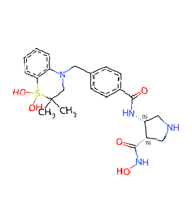 CC1(C)CN(Cc2ccc(C(=O)N[C@@H]3CNC[C@@H]3C(=O)NO)cc2)c2ccccc2S1(O)O